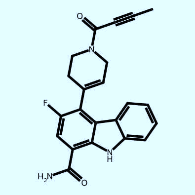 CC#CC(=O)N1CC=C(c2c(F)cc(C(N)=O)c3[nH]c4ccccc4c23)CC1